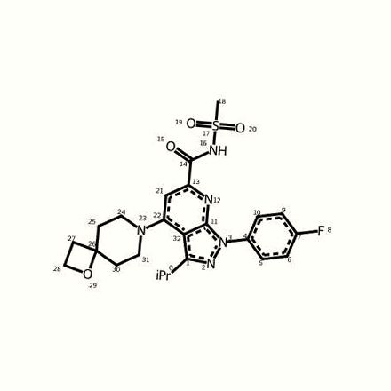 CC(C)c1nn(-c2ccc(F)cc2)c2nc(C(=O)NS(C)(=O)=O)cc(N3CCC4(CCO4)CC3)c12